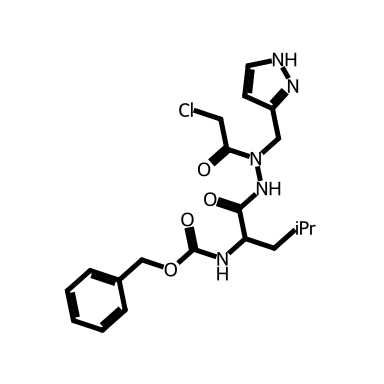 CC(C)CC(NC(=O)OCc1ccccc1)C(=O)NN(Cc1cc[nH]n1)C(=O)CCl